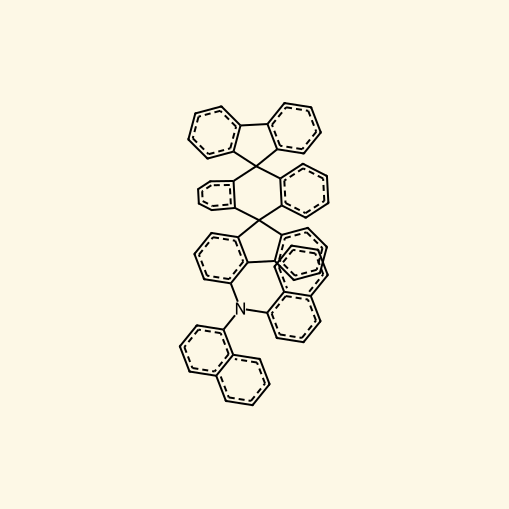 c1ccc2c(c1)-c1ccccc1C21c2ccccc2C2(c3ccccc3-c3c(N(c4cccc5ccccc45)c4cccc5ccccc45)cccc32)c2ccccc21